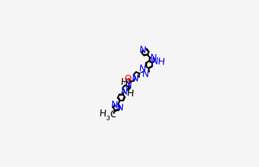 Cc1cnc(-c2ccc(N3C[C@@H]4C[C@H]3CN4C(=O)CN3CC[C@@H](c4ncc5cc6[nH]nc(-c7ccncc7)c6cc5n4)C3)cc2)nc1